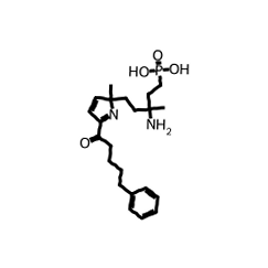 CC(N)(CCC1(C)C=CC(C(=O)CCCCc2ccccc2)=N1)CCP(=O)(O)O